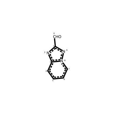 O=Cc1nc2ccccn2n1